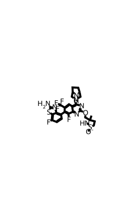 CC1(COc2nc(N3CC4CCC(C3)N4)c3cc(C(F)(F)F)c(-c4ccc(F)c5sc(N)nc45)c(F)c3n2)CC[S+]([O-])N1